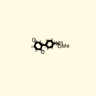 CONc1ccc(C2=CC(=O)C=CC2=O)cc1